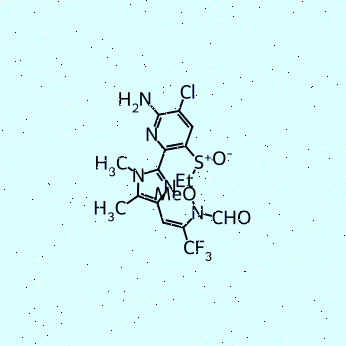 CC[S+]([O-])c1cc(Cl)c(N)nc1-c1nc(/C=C(\N(C=O)OC)C(F)(F)F)c(C)n1C